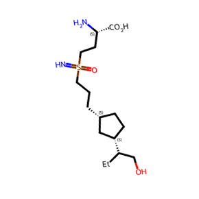 CCC(CO)[C@H]1CC[C@@H](CCCS(=N)(=O)CC[C@H](N)C(=O)O)C1